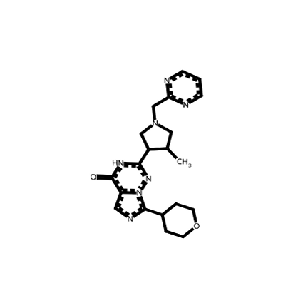 CC1CN(Cc2ncccn2)CC1c1nn2c(C3CCOCC3)ncc2c(=O)[nH]1